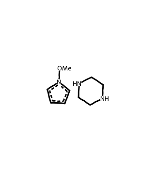 C1CNCCN1.COn1cccc1